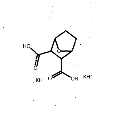 O=C(O)C1C2CCC(O2)C1C(=O)O.[KH].[KH]